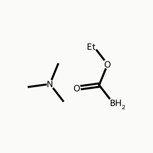 BC(=O)OCC.CN(C)C